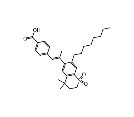 CCCCCCCCc1cc2c(cc1/C(C)=C/c1ccc(C(=O)O)cc1)C(C)(C)CCS2(=O)=O